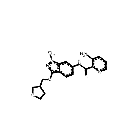 Cn1nc(OCC2CCOC2)c2ccc(NC(=O)c3ncccc3N)cc21